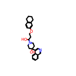 OC(CCOc1ccc2c(c1)CCCC2)N1CCC(O)(c2cncc3ccccc23)CC1